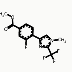 COC(=O)c1ccc(-c2cn(C)c(C(F)(F)F)n2)c(F)c1